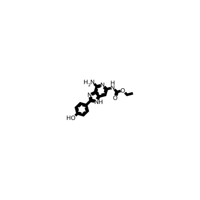 CCOC(=O)Nc1cc2[nH]c(-c3ccc(O)cc3)nc2c(N)n1